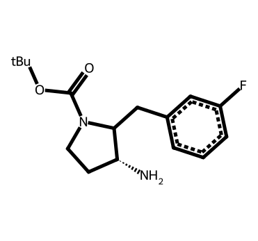 CC(C)(C)OC(=O)N1CC[C@@H](N)C1Cc1cccc(F)c1